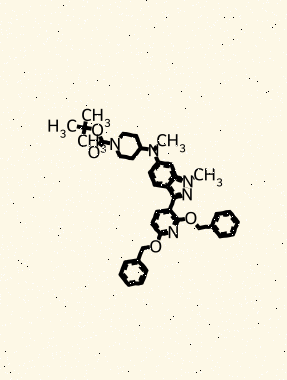 CN(c1ccc2c(-c3ccc(OCc4ccccc4)nc3OCc3ccccc3)nn(C)c2c1)C1CCN(C(=O)OC(C)(C)C)CC1